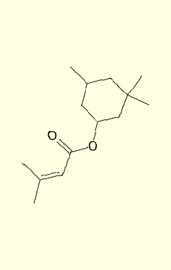 CC(C)=CC(=O)OC1CC(C)CC(C)(C)C1